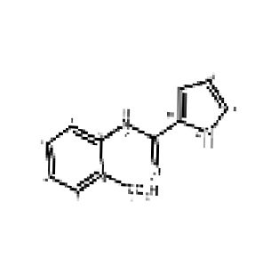 O=C(Nc1ccccc1C(=O)O)c1ccc[nH]1